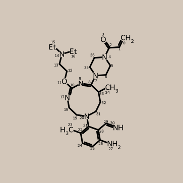 C=CC(=O)N1CCN(/C2=N/C(OCCN(CC)CC)=N\CCN(c3c(C)ccc(N)c3C=N)CCC2C)CC1